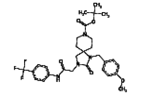 COc1ccc(CN2C(=O)N(CC(=O)Nc3ccc(C(F)(F)F)cc3)CC23CCN(C(=O)OC(C)(C)C)CC3)cc1